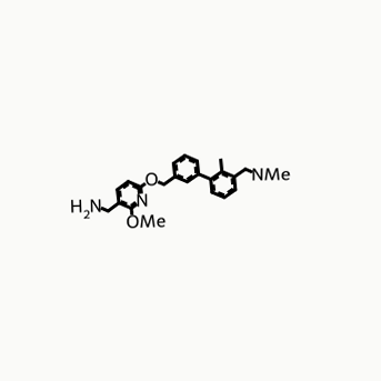 CNCc1cccc(-c2cccc(COc3ccc(CN)c(OC)n3)c2)c1C